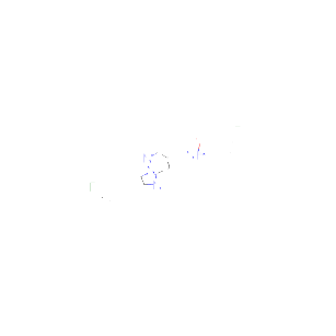 O=C(CC1CC(F)(F)C1)NCc1cnn2cc(CC3CC4C(C3)C4(F)F)nc2c1